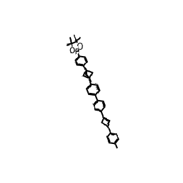 Cc1ccc(C2C=C(c3ccc(-c4ccc(C56CC(c7ccc(B8OC(C)(C)C(C)(C)O8)cc7)(C5)C6)cc4)cc3)C2)cc1